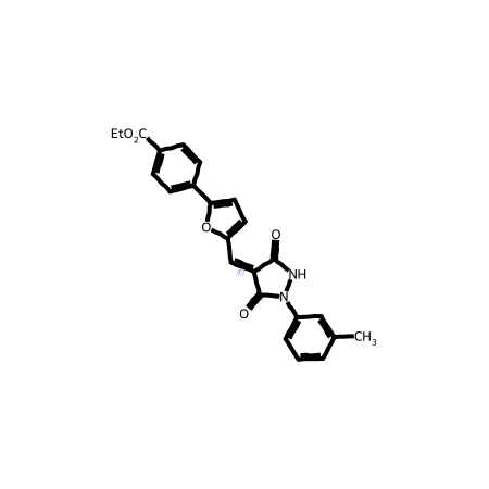 CCOC(=O)c1ccc(-c2ccc(/C=C3\C(=O)NN(c4cccc(C)c4)C3=O)o2)cc1